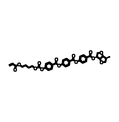 C=CC(=O)OCCCCOC(=O)Oc1ccc(C(=O)Oc2ccc(C(=O)Oc3ccc(C(=O)O[C@@H]4COC5C4OC[C@@H]5C)cc3)cc2)cc1